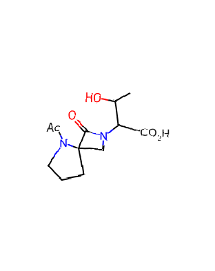 CC(=O)N1CCCC12CN(C(C(=O)O)C(C)O)C2=O